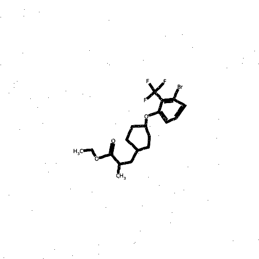 CCOC(=O)C(C)CC1CCC(Oc2cccc(Br)c2C(F)(F)F)CC1